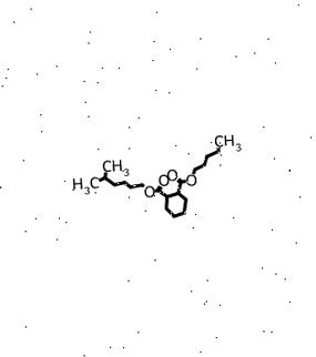 CCCCCOC(=O)C1CCCCC1C(=O)OCCCCC(C)C